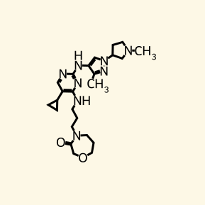 Cc1nn(C2CCN(C)C2)cc1Nc1ncc(C2CC2)c(NCCCN2CCCOCC2=O)n1